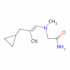 CN(/C=C(\C#N)CC1CC1)CC(N)=O